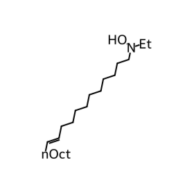 CCCCCCCCC=CCCCCCCCCCCN(O)CC